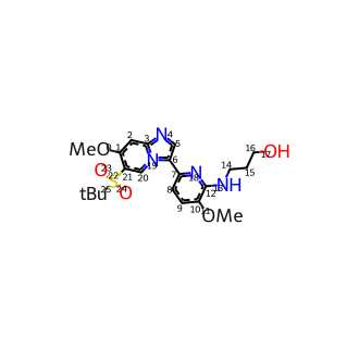 COc1cc2ncc(-c3ccc(OC)c(NCCCO)n3)n2cc1S(=O)(=O)C(C)(C)C